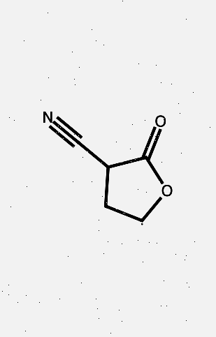 N#CC1C[CH]OC1=O